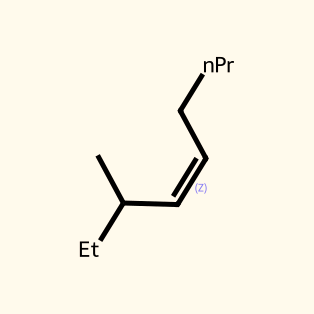 CCCC/C=C\C(C)CC